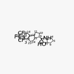 O=C(N[C@@H]1CCCC1O)[C@@H]1CCC2c3ccc(C(F)(C(F)(F)F)C(F)(F)F)cc3CCC21